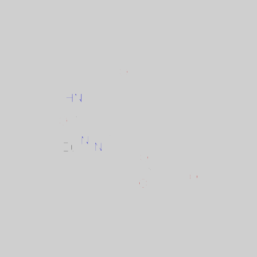 CCn1nc(CCOC(=O)C2CCOCC2)c2c1C(=O)NCC1(CCOCC1)C2